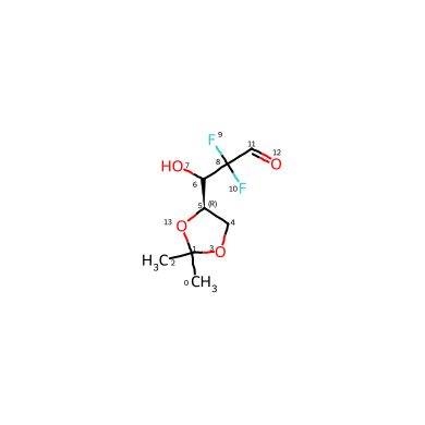 CC1(C)OC[C@H](C(O)C(F)(F)C=O)O1